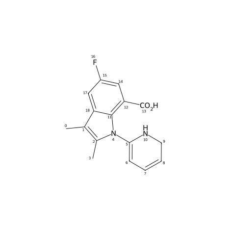 Cc1c(C)n(C2=CC=CCN2)c2c(C(=O)O)cc(F)cc12